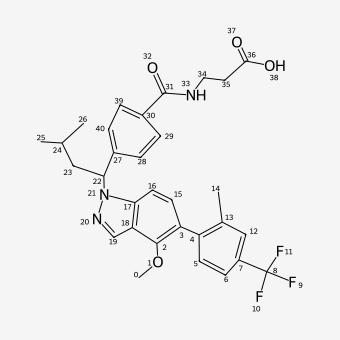 COc1c(-c2ccc(C(F)(F)F)cc2C)ccc2c1cnn2C(CC(C)C)c1ccc(C(=O)NCCC(=O)O)cc1